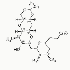 C=C1C(C[C@@H]2O[C@H]3C[C@H]4OC(C)(C)OC[C@H]4O[C@H]3[C@H](C)[C@H]2O)OC(CCC=O)C[C@H]1C